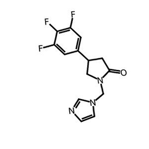 O=C1CC(c2cc(F)c(F)c(F)c2)CN1Cn1ccnc1